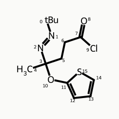 CC(C)(C)N=NC(C)(CCC(=O)Cl)Oc1cccs1